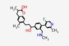 CNCc1cc(C(O)CCc2ccc(CC(C)C(=O)O)cc2C)ccc1-c1cc(C)ncc1F